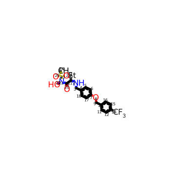 CCC(NCc1ccc(OCc2ccc(C(F)(F)F)cc2)cc1)C(=O)N(O)S(C)(=O)=O